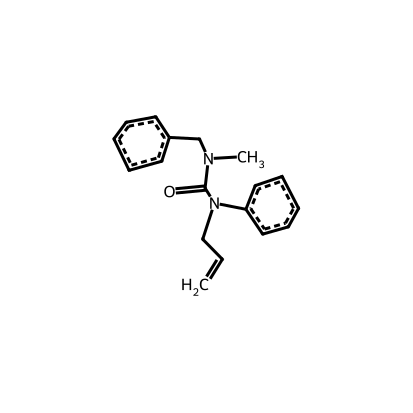 C=CCN(C(=O)N(C)Cc1ccccc1)c1ccccc1